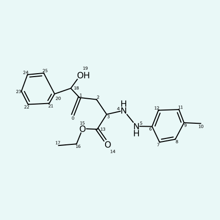 C=C(CC(NNc1ccc(C)cc1)C(=O)OCC)C(O)c1ccccc1